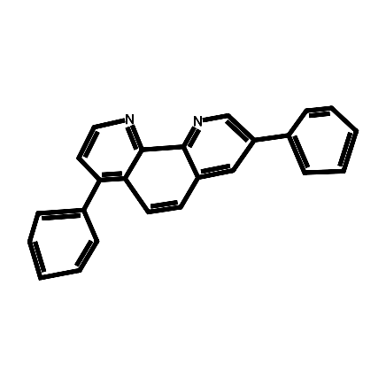 c1ccc(-c2cnc3c(ccc4c(-c5ccccc5)ccnc43)c2)cc1